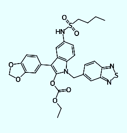 CCCCS(=O)(=O)Nc1ccc2c(c1)c(-c1ccc3c(c1)OCO3)c(OC(=O)OCC)n2Cc1ccc2nsnc2c1